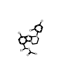 CCC(=O)OC(CC)c1ccc(Cl)c2nc3n(c12)CCCN3c1ccc(Cl)cc1Cl